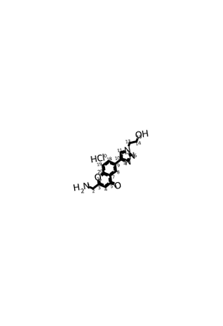 Cl.NCc1cc(=O)c2cc(-c3cn(CCO)nn3)ccc2o1